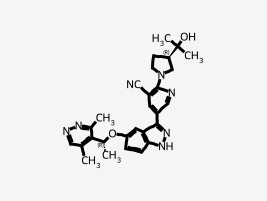 Cc1cnnc(C)c1[C@@H](C)Oc1ccc2[nH]nc(-c3cnc(N4CC[C@@H](C(C)(C)O)C4)c(C#N)c3)c2c1